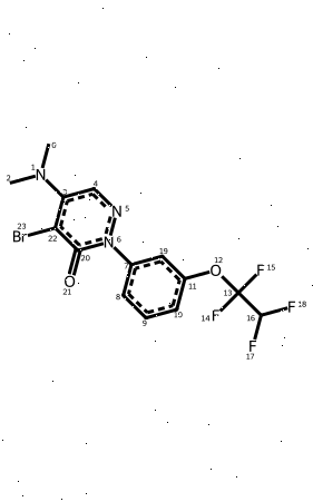 CN(C)c1cnn(-c2cccc(OC(F)(F)C(F)F)c2)c(=O)c1Br